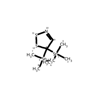 [CH3][Sn]([CH3])([CH3])[C]1([Sn]([CH3])([CH3])[CH3])C=NSS1